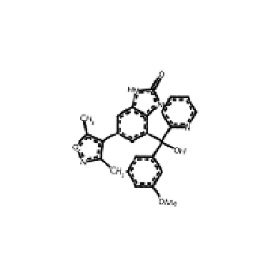 COc1cccc(C(O)(c2ccccn2)c2cc(-c3c(C)noc3C)cc3[nH]c(=O)[nH]c23)c1